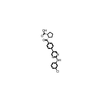 O=C(O)[C@H]1CCC[C@@H]1C(=O)c1ccc(-c2cnc(Nc3cccc(Cl)c3)nc2)cc1